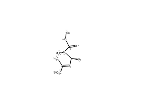 CCOC(=O)/C(C)=C/[C@H](C(C)C)N(C)C(=O)OC(C)(C)C